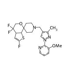 COc1cccnc1-n1cc(CN2CCC3(CC2)OCC(F)(F)C2C=C(F)SC23)c(C)n1